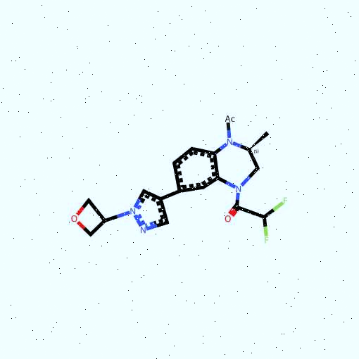 CC(=O)N1c2ccc(-c3cnn(C4COC4)c3)cc2N(C(=O)C(F)F)C[C@@H]1C